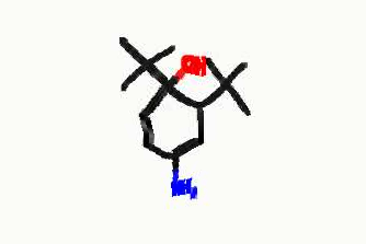 CC(C)(C)C1C=C(N)C=CC1(O)C(C)(C)C